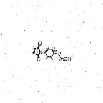 O=C1C=CC(=O)N1c1ccc(CCO)cc1